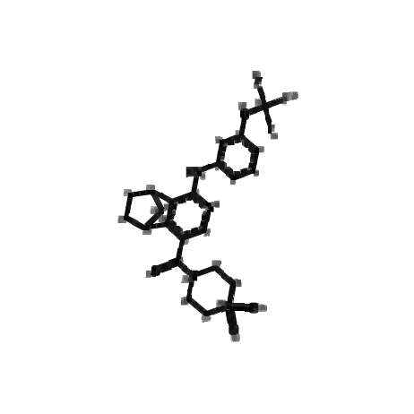 O=C(c1cnc(Nc2cccc(OC(F)(F)F)c2)c2c1C1CCC2C1)N1CCS(=O)(=O)CC1